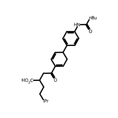 CCCCC(=O)Nc1ccc(C2C=CC(C(=O)CC(CCC(C)C)C(=O)O)=CC2)cc1